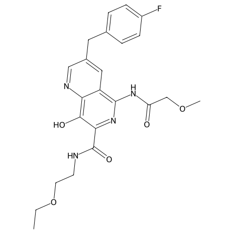 CCOCCNC(=O)c1nc(NC(=O)COC)c2cc(Cc3ccc(F)cc3)cnc2c1O